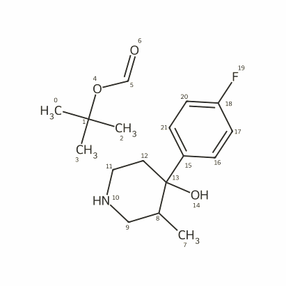 CC(C)(C)OC=O.CC1CNCCC1(O)c1ccc(F)cc1